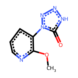 COc1ncccc1-n1nn[nH]c1=O